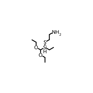 CCOC(OCC)[SiH](CC)SCCN